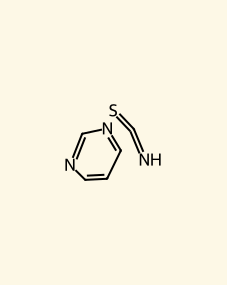 N=C=S.c1cncnc1